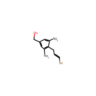 O=[N+]([O-])c1cc(CO)cc([N+](=O)[O-])c1CC=CS